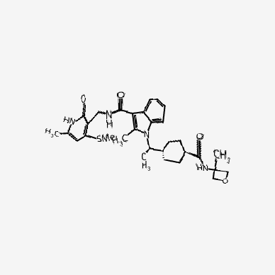 CSc1cc(C)[nH]c(=O)c1CNC(=O)c1c(C)n([C@H](C)[C@H]2CC[C@H](C(=O)NC3(C)COC3)CC2)c2ccccc12